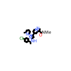 CNC(=O)c1cnn2ccc(-c3cc(NC(C)c4ccc(Cl)cc4)nn3-c3cccc(C)n3)cc12